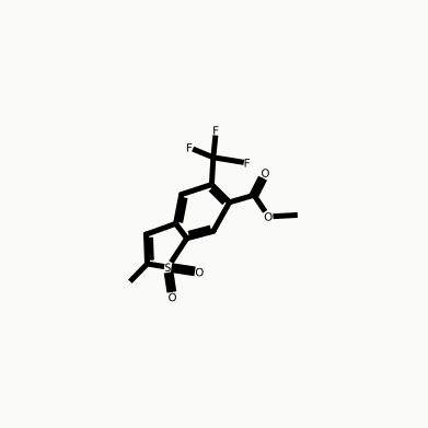 COC(=O)c1cc2c(cc1C(F)(F)F)C=C(C)S2(=O)=O